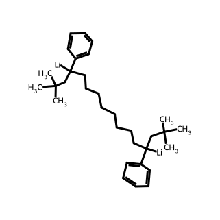 [Li][C](CCCCCCCC[C]([Li])(CC(C)(C)C)c1ccccc1)(CC(C)(C)C)c1ccccc1